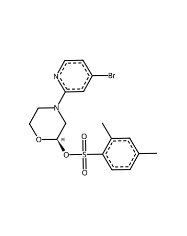 Cc1ccc(S(=O)(=O)O[C@@H]2CN(c3cc(Br)ccn3)CCO2)c(C)c1